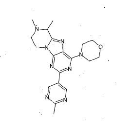 Cc1ncc(-c2nc(N3CCOCC3)c3nc4n(c3n2)CCN(C)C4C)cn1